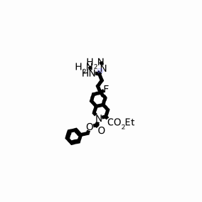 CCOC(=O)C1CC2CC(F)(CC/C(=N/N)NN)CCC2CN1C(=O)OCc1ccccc1